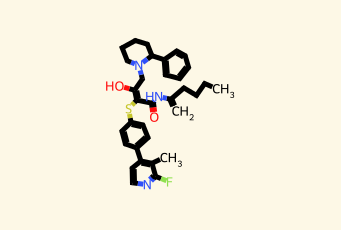 C=C(CCCC)NC(=O)/C(Sc1ccc(-c2ccnc(F)c2C)cc1)=C(/O)CN1CCCCC1c1ccccc1